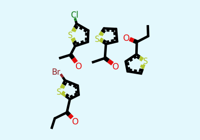 CC(=O)c1ccc(Cl)s1.CC(=O)c1cccs1.CCC(=O)c1ccc(Br)s1.CCC(=O)c1cccs1